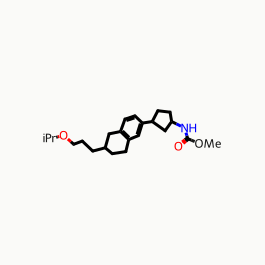 COC(=O)NC1CCC(c2ccc3c(c2)CCC(CCCOC(C)C)C3)C1